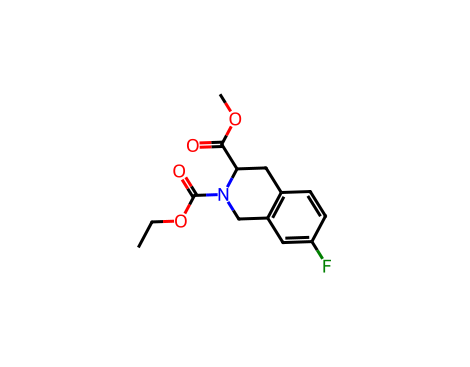 CCOC(=O)N1Cc2cc(F)ccc2CC1C(=O)OC